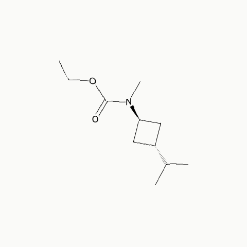 CCOC(=O)N(C)[C@H]1C[C@H](C(C)C)C1